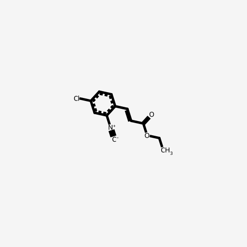 [C-]#[N+]c1cc(Cl)ccc1C=CC(=O)OCC